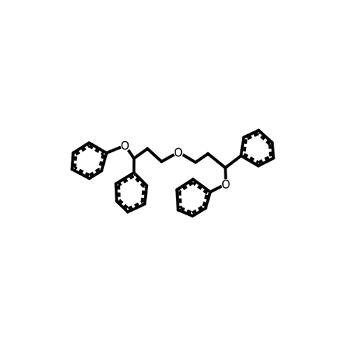 c1ccc(OC(CCOCCC(Oc2ccccc2)c2ccccc2)c2ccccc2)cc1